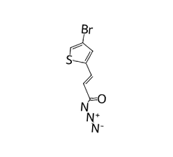 [N-]=[N+]=NC(=O)C=Cc1cc(Br)cs1